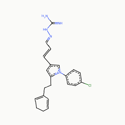 N=C(N)N/N=C/C=C/c1cc(CCC2=CCCC=C2)n(-c2ccc(Cl)cc2)c1